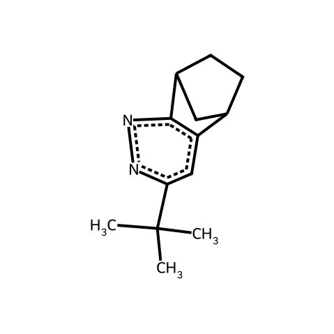 CC(C)(C)c1cc2c(nn1)C1CCC2C1